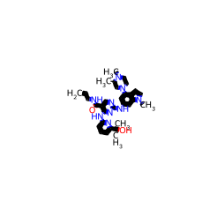 C=CCNC(=O)c1cnc(Nc2cc(N3CCN(C)[C@@H](C)C3)c3ccn(C)c3c2)nc1Nc1cccc(C(C)(C)O)n1